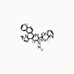 C[C@H](NC(=O)c1nc(-c2ccc3ncccc3c2)c(-c2ccn(C)n2)nc1N)c1ncccn1